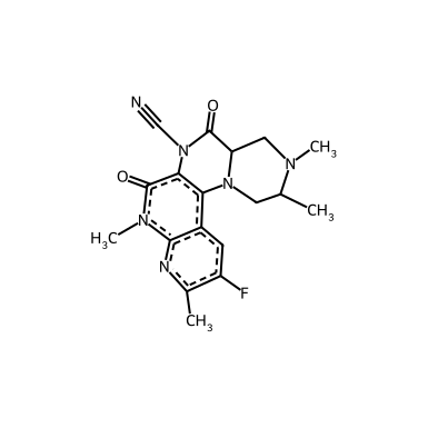 Cc1nc2c(cc1F)c1c(c(=O)n2C)N(C#N)C(=O)C2CN(C)C(C)CN12